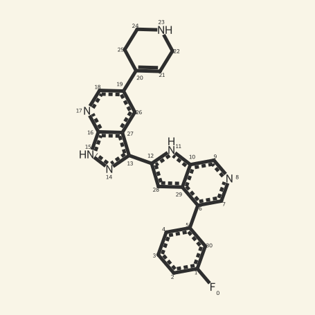 Fc1cccc(-c2cncc3[nH]c(-c4n[nH]c5ncc(C6=CCNCC6)cc45)cc23)c1